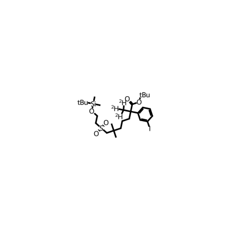 [2H]C([2H])([2H])C(CCCC(C)(C)CS(=O)(=O)CCO[Si](C)(C)C(C)(C)C)(C(=O)OC(C)(C)C)c1cccc(I)c1